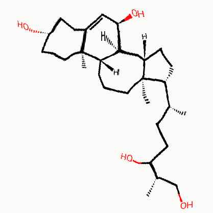 C[C@H](CCC(O)[C@@H](C)CO)[C@H]1CC[C@H]2[C@@H]3[C@H](O)C=C4C[C@@H](O)CC[C@]4(C)[C@H]3CC[C@]12C